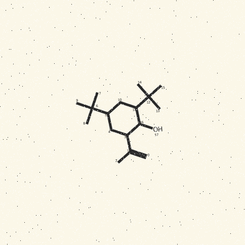 C=C(C)C1CC(C(C)(C)C)CC(C(C)(C)C)C1O